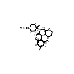 CON1CCC(C)(N(OC2CCCCO2)C(=O)Cc2c(C)cc(C)cc2C)CC1